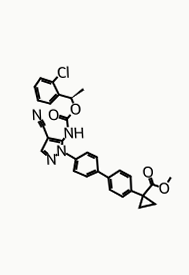 COC(=O)C1(c2ccc(-c3ccc(-n4ncc(C#N)c4NC(=O)O[C@H](C)c4ccccc4Cl)cc3)cc2)CC1